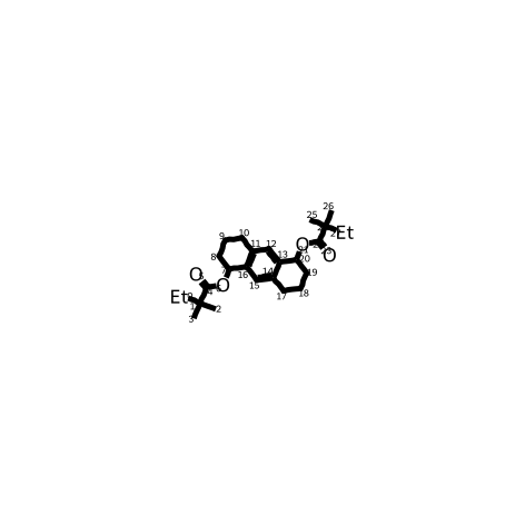 CCC(C)(C)C(=O)OC1CCCc2cc3c(cc21)CCCC3OC(=O)C(C)(C)CC